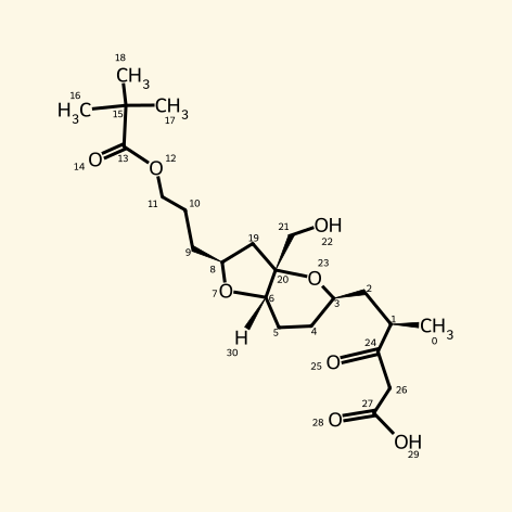 C[C@H](C[C@H]1CC[C@@H]2O[C@@H](CCCOC(=O)C(C)(C)C)C[C@]2(CO)O1)C(=O)CC(=O)O